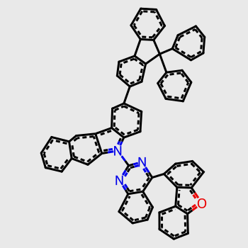 c1ccc(C2(c3ccccc3)c3ccccc3-c3ccc(-c4ccc5c(c4)c4cc6ccccc6cc4n5-c4nc(-c5cccc6oc7ccccc7c56)c5ccccc5n4)cc32)cc1